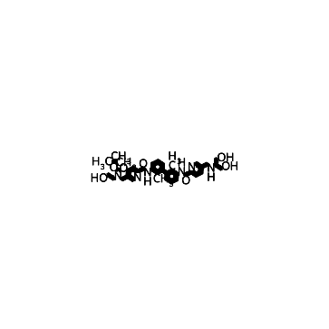 Cc1c(NC(=O)c2ccc(CNC(CO)CO)cn2)cccc1-c1cccc(NC(=O)c2ccc(CN(CCO)C(=O)OC(C)(C)C)cn2)c1C